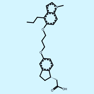 CCCc1c(OCCCOc2ccc3c(c2)CC[C@H]3CC(=O)O)ccc2c1ccn2C